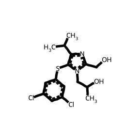 CC(O)Cn1c(CO)nc(C(C)C)c1Sc1cc(Cl)cc(Cl)c1